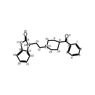 O=C(c1ccccc1)C1CCN(CCn2c(=O)sc3ccccc32)CC1